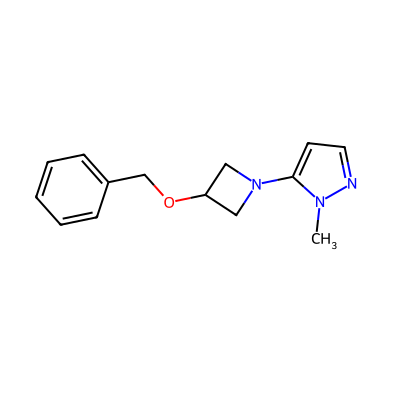 Cn1nccc1N1CC(OCc2ccccc2)C1